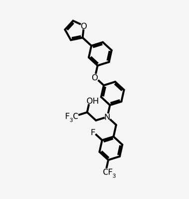 OC(CN(Cc1ccc(C(F)(F)F)cc1F)c1cccc(Oc2cccc(-c3ccco3)c2)c1)C(F)(F)F